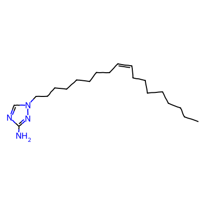 CCCCCCCC/C=C\CCCCCCCCn1cnc(N)n1